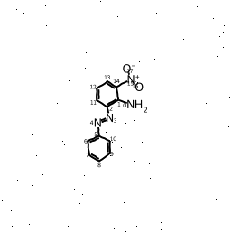 Nc1c(N=Nc2ccccc2)cccc1[N+](=O)[O-]